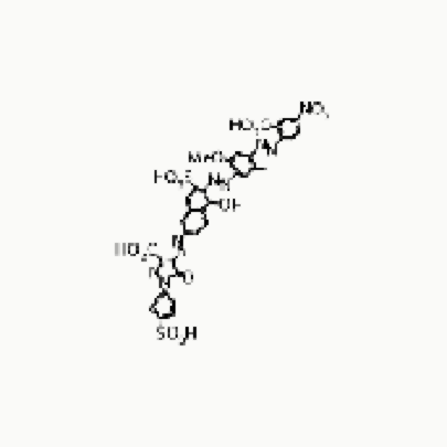 COc1cc(/N=N/c2ccc([N+](=O)[O-])cc2C(=O)O)c(C)cc1/N=N/c1c(S(=O)(=O)O)cc2cc(/N=N/C3C(=O)N(c4ccc(S(=O)(=O)O)cc4)N=C3C(=O)O)ccc2c1O